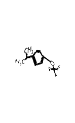 CC(C)c1ccc(OC(F)(F)F)cc1